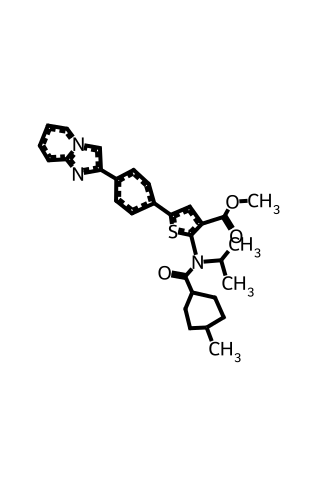 COC(=O)c1cc(-c2ccc(-c3cn4ccccc4n3)cc2)sc1N(C(=O)C1CCC(C)CC1)C(C)C